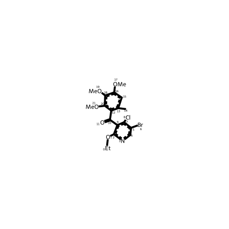 CCOc1ncc(Br)c(Cl)c1C(=O)c1c(C)cc(OC)c(OC)c1OC